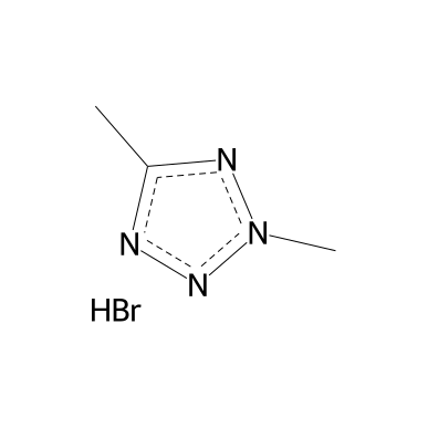 Br.Cc1nnn(C)n1